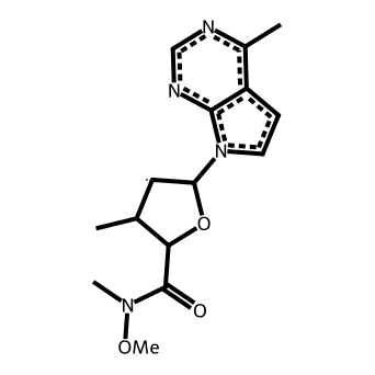 CON(C)C(=O)C1OC(n2ccc3c(C)ncnc32)[CH][C]1C